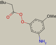 COc1cc(N)cc(OOC(=O)CC(C)(C)C)c1